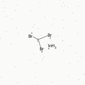 Br[C](Br)Br.[InH3]